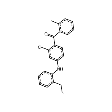 [CH2]Cc1ccccc1Nc1ccc(C(=O)c2ccccc2C)c(Cl)c1